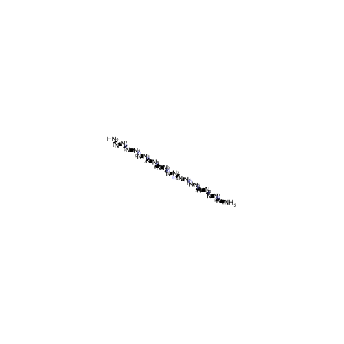 N=N/N=N/N=N/N=N/N=N/N=N/N=N/N=N/N=N/N=N/N=N/N